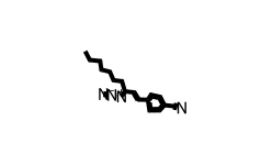 CCCCCCCC(C=Cc1ccc(C#N)cc1)N=[N+]=[N-]